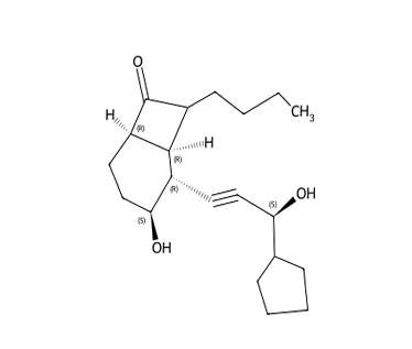 CCCCC1C(=O)[C@@H]2CC[C@H](O)[C@@H](C#C[C@@H](O)C3CCCC3)[C@H]12